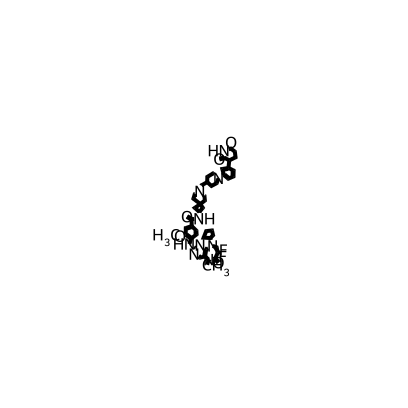 COc1cc(C(=O)NC2CC3(CCN(CC4CCN(c5cccc(C6CCC(=O)NC6=O)c5)CC4)CC3)C2)ccc1Nc1ncc2c(n1)N(C1CCCC1)CC(F)(F)C(=O)N2C